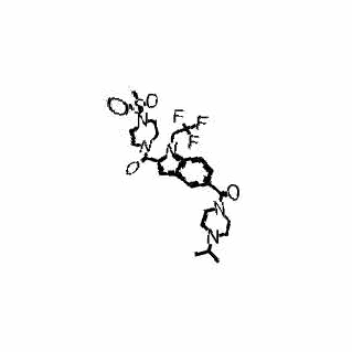 CC(C)N1CCN(C(=O)c2ccc3c(c2)cc(C(=O)N2CCN(S(C)(=O)=O)CC2)n3CC(F)(F)F)CC1